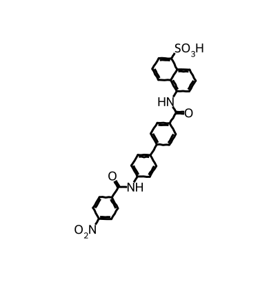 O=C(Nc1ccc(-c2ccc(C(=O)Nc3cccc4c(S(=O)(=O)O)cccc34)cc2)cc1)c1ccc([N+](=O)[O-])cc1